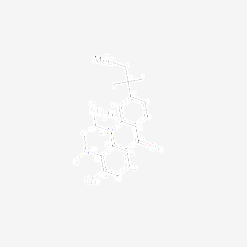 COCC(C)(C)c1ccc2c(=O)c3ccc(Cl)c(N(C)C)c3n(CC(=O)O)c2c1